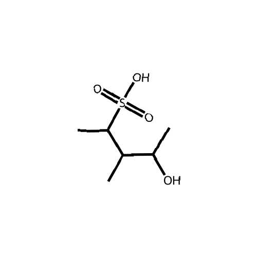 CC(O)C(C)C(C)S(=O)(=O)O